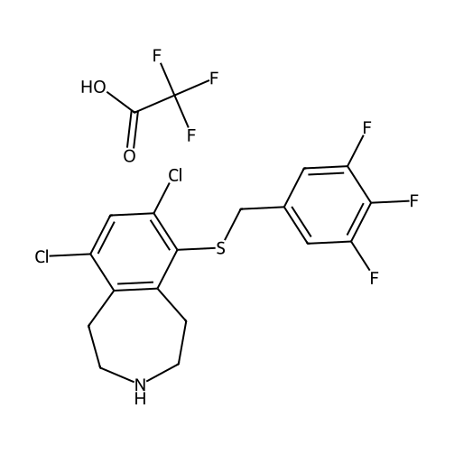 Fc1cc(CSc2c(Cl)cc(Cl)c3c2CCNCC3)cc(F)c1F.O=C(O)C(F)(F)F